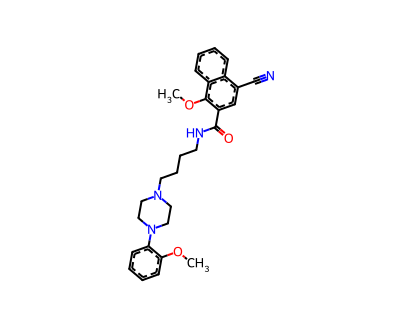 COc1ccccc1N1CCN(CCCCNC(=O)c2cc(C#N)c3ccccc3c2OC)CC1